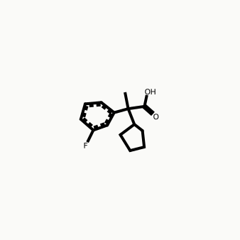 CC(C(=O)O)(c1cccc(F)c1)C1CCCC1